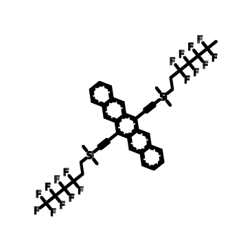 CC(F)(F)C(F)(F)C(F)(F)C(F)(F)CC[Si](C)(C)C#Cc1c2cc3ccccc3cc2c(C#C[Si](C)(C)CCC(F)(F)C(F)(F)C(F)(F)C(F)(F)F)c2cc3ccccc3cc12